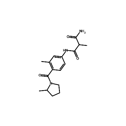 C[C](C(N)=O)C(=O)Nc1ccc(C(=O)N2CCCC2C)c(C)c1